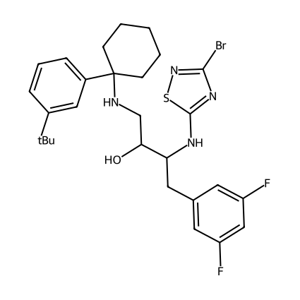 CC(C)(C)c1cccc(C2(NCC(O)C(Cc3cc(F)cc(F)c3)Nc3nc(Br)ns3)CCCCC2)c1